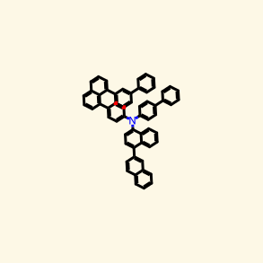 c1ccc(-c2ccc(N(c3ccc(-c4cccc5cccc(-c6cccc(-c7ccccc7)c6)c45)cc3)c3ccc(-c4ccc5ccccc5c4)c4ccccc34)cc2)cc1